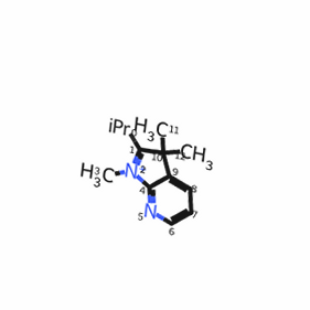 CC(C)C1=[N+](C)c2ncccc2C1(C)C